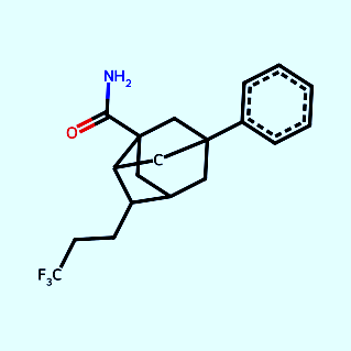 NC(=O)C12CC3CC(c4ccccc4)(CC1C3CCC(F)(F)F)C2